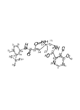 COc1ncnc(C(=O)N[C@@H](C)C2(C)C=C(C(=O)Nc3ccc(C)c(C(F)(F)F)c3)ON2)c1Cl